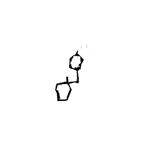 Nc1ccc(C(=O)C2(N)C=CC=CC2)cc1